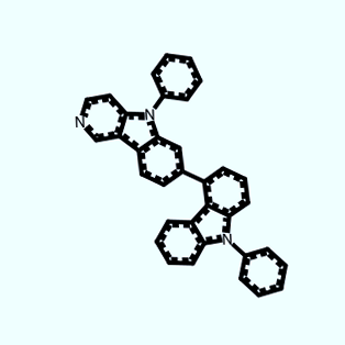 c1ccc(-n2c3ccncc3c3ccc(-c4cccc5c4c4ccccc4n5-c4ccccc4)cc32)cc1